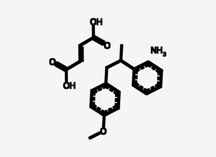 COc1ccc(CC(C)c2ccccc2)cc1.N.O=C(O)C=CC(=O)O